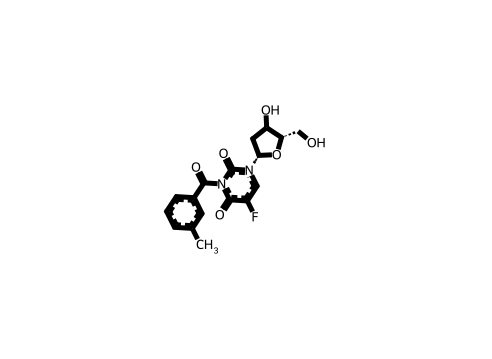 Cc1cccc(C(=O)n2c(=O)c(F)cn([C@@H]3CC(O)[C@H](CO)O3)c2=O)c1